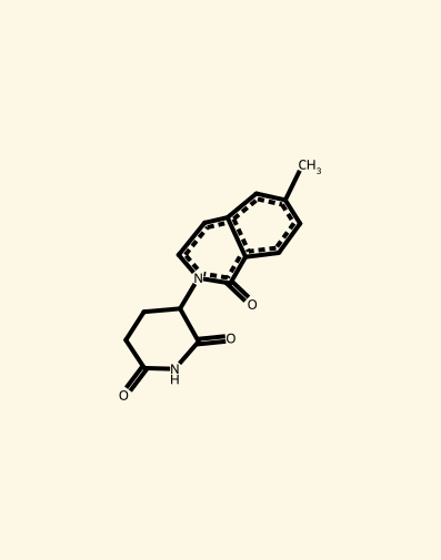 Cc1ccc2c(=O)n(C3CCC(=O)NC3=O)ccc2c1